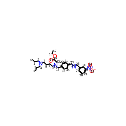 CCCN(CCC)CCCCN(CC(=O)OCC)Cc1ccc(CN=Cc2cccc([N+](=O)[O-])c2)cc1